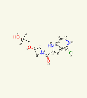 CC(C)(O)COC1CN(C(=O)c2cc3c(Cl)nccc3[nH]2)C1